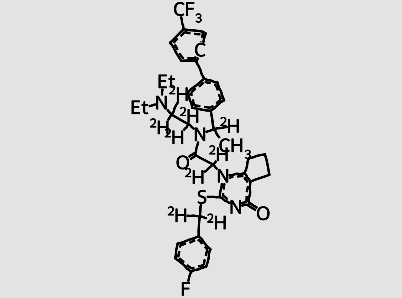 [2H]C([2H])(Sc1nc(=O)c2c(n1C([2H])([2H])C(=O)N(C([2H])(C)c1ccc(-c3ccc(C(F)(F)F)cc3)cc1)C([2H])([2H])C([2H])([2H])N(CC)CC)CCC2)c1ccc(F)cc1